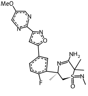 CN=[S@@]1(=O)C[C@@](C)(c2cc(-c3cc(-c4ncc(OC)cn4)no3)ccc2F)N=C(N)C1(C)C